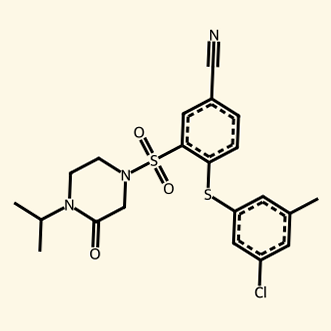 Cc1cc(Cl)cc(Sc2ccc(C#N)cc2S(=O)(=O)N2CCN(C(C)C)C(=O)C2)c1